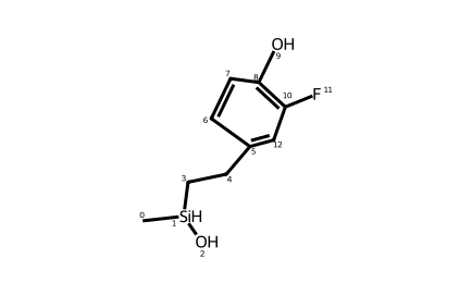 C[SiH](O)CCc1ccc(O)c(F)c1